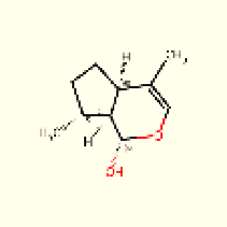 CC1=CO[C@H](O)[C@H]2[C@H](C)CC[C@@H]12